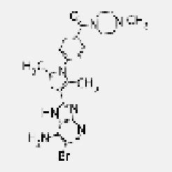 Cc1cc(-c2nc3ncc(Br)c(N)c3[nH]2)c(C)n1-c1ccc(C(=O)N2CCN(C)CC2)cc1